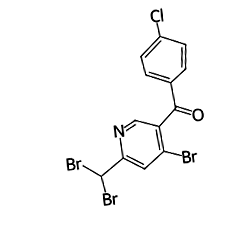 O=C(c1ccc(Cl)cc1)c1cnc(C(Br)Br)cc1Br